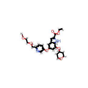 CCOC(=O)c1cc2cc(Oc3ccc(COCCOC)nc3)cc(OC3CCOCC3)c2[nH]1